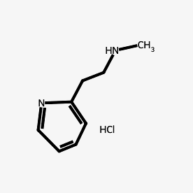 CNCCc1ccccn1.Cl